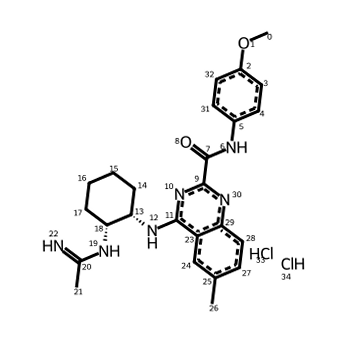 COc1ccc(NC(=O)c2nc(N[C@H]3CCCC[C@H]3NC(C)=N)c3cc(C)ccc3n2)cc1.Cl.Cl